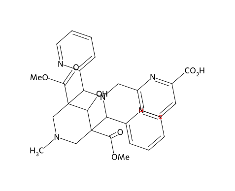 COC(=O)C12CN(C)CC(C(=O)OC)(C(c3ccccn3)N(Cc3cccc(C(=O)O)n3)C1c1ccccn1)C2O